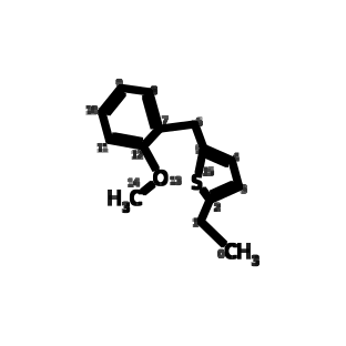 CCc1ccc(Cc2ccccc2OC)s1